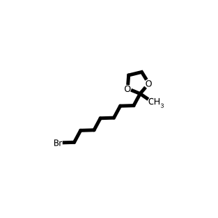 CC1(CCCCCCCBr)OCCO1